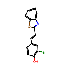 Oc1ccc(C=Cc2nc3ccccc3s2)cc1Br